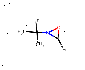 CCC1ON1C(C)(C)CC